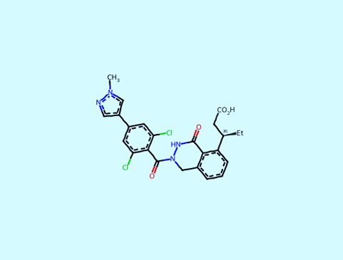 CC[C@H](CC(=O)O)c1cccc2c1C(=O)NN(C(=O)c1c(Cl)cc(-c3cnn(C)c3)cc1Cl)C2